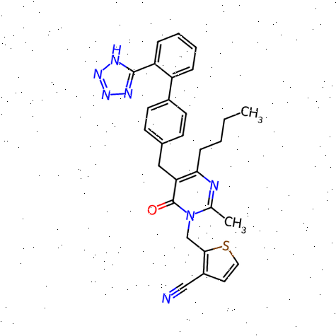 CCCCc1nc(C)n(Cc2sccc2C#N)c(=O)c1Cc1ccc(-c2ccccc2-c2nnn[nH]2)cc1